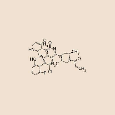 C=CC(=O)N1C[C@H](C)N(c2nc(=O)n(C3C(C)=CCNC3C(C)C)c3nc(-c4c(O)cccc4F)c(Cl)cc23)C[C@H]1C